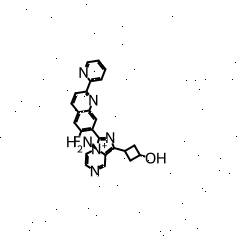 N[N+]12C=CN=CC1=C(C1CC(O)C1)N=C2c1cc2nc(-c3ccccn3)ccc2cc1F